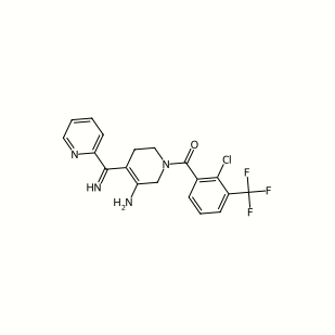 N=C(C1=C(N)CN(C(=O)c2cccc(C(F)(F)F)c2Cl)CC1)c1ccccn1